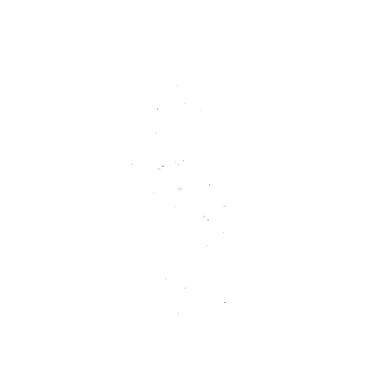 O=COCc1ccc(N2CC3(CCN(Cc4cc(Cl)c(Cl)c(Br)c4)CC3)OC2=O)cc1